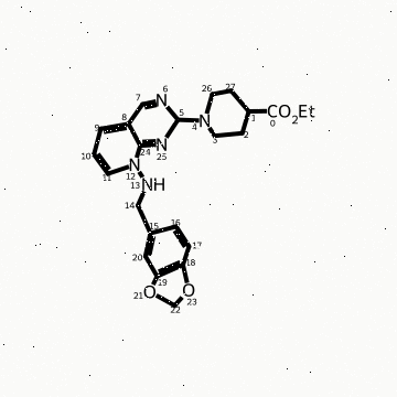 CCOC(=O)C1CCN(C2N=CC3=CC=CN(NCc4ccc5c(c4)OCO5)C3=N2)CC1